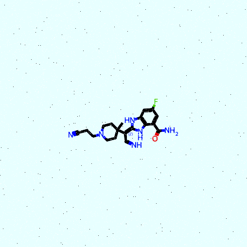 CC1(/C(C=N)=C2\Nc3cc(F)cc(C(N)=O)c3N2)CCN(CCC#N)CC1